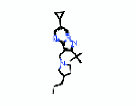 CCCC1CCN(Cc2c(C(C)(C)C)nn3cc(C4CC4)cnc23)C1